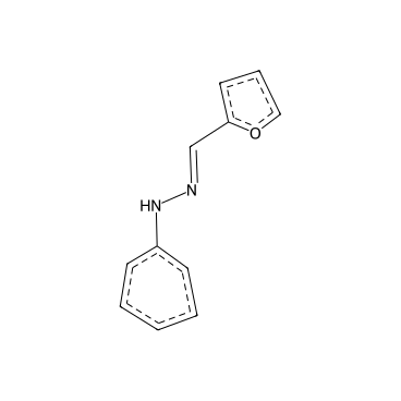 C(=NNc1ccccc1)c1ccco1